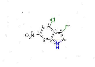 O=[N+]([O-])c1cc(Cl)c2c(F)c[nH]c2c1